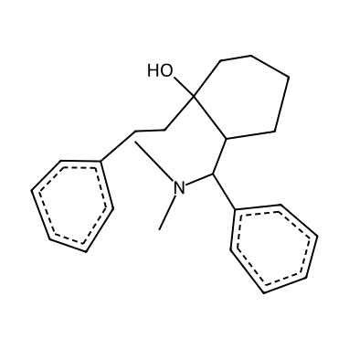 CN(C)C(c1ccccc1)C1CCCCC1(O)CCc1ccccc1